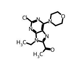 CCn1c(C(C)=O)nc2c(N3CCOCC3)nc(Cl)nc21